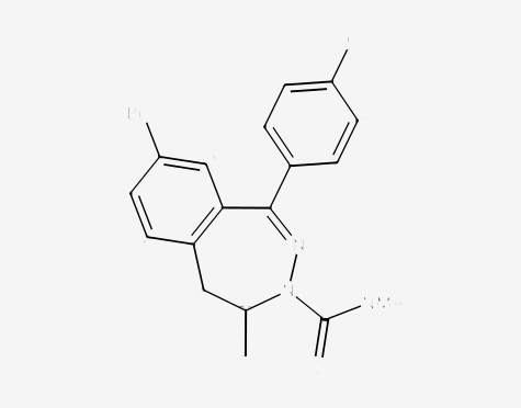 CNC(=O)N1N=C(c2ccc(Cl)cc2)c2cc(C(C)(C)C)ccc2CC1C